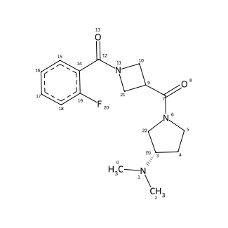 CN(C)[C@H]1CCN(C(=O)C2CN(C(=O)c3ccccc3F)C2)C1